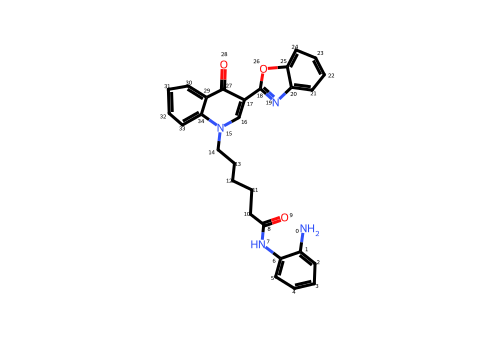 Nc1ccccc1NC(=O)CCCCCn1cc(-c2nc3ccccc3o2)c(=O)c2ccccc21